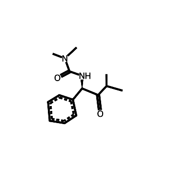 CC(C)C(=O)[C@H](NC(=O)N(C)C)c1ccccc1